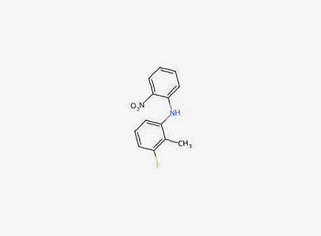 Cc1c(F)cccc1Nc1ccccc1[N+](=O)[O-]